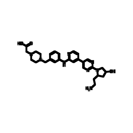 NCCC1CC(O)CN1c1ncc(-c2ccnc(Nc3cccc(CN4CCN(CC(=O)O)CC4)c3)c2)cn1